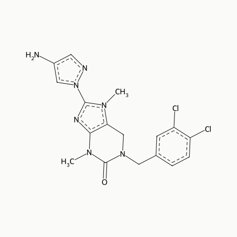 CN1C(=O)N(Cc2ccc(Cl)c(Cl)c2)Cc2c1nc(-n1cc(N)cn1)n2C